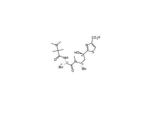 CCC(C)[C@@H](C[C@@H](O)c1nc(C(=O)O)cs1)N(C)C(=O)[C@@H](NC(=O)C(C)(C)N(C)C)[C@@H](C)CC